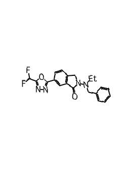 CCN(Cc1ccccc1)N1Cc2ccc(-c3nnc(C(F)F)o3)cc2C1=O